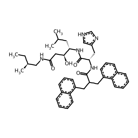 CC[C@H](C)CNC(=O)C[C@H](O)[C@H](CC(C)C)NC(=O)[C@H](Cc1c[nH]cn1)NC(=O)C(Cc1cccc2ccccc12)Cc1cccc2ccccc12